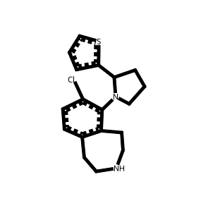 Clc1ccc2c(c1N1CCCC1c1cccs1)CCNCC2